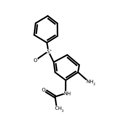 CC(=O)Nc1cc([S+]([O-])c2ccccc2)ccc1N